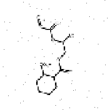 C=CC(=O)OC(CC)COC(=O)C1CCCCC1C(=O)O